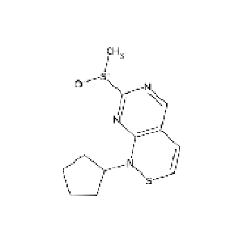 C[S+]([O-])c1ncc2c(n1)N(C1CCCC1)SC=C2